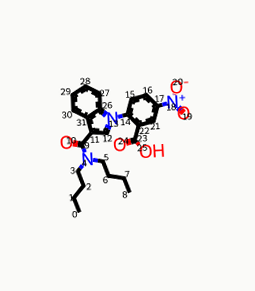 CCCCN(CCCC)C(=O)c1cn(-c2ccc([N+](=O)[O-])cc2C(=O)O)c2ccccc12